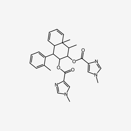 Cc1ccccc1C1C(OC(=O)c2cn(C)cn2)C(OC(=O)c2cn(C)cn2)C(C)C2(C)C=CC=CC12